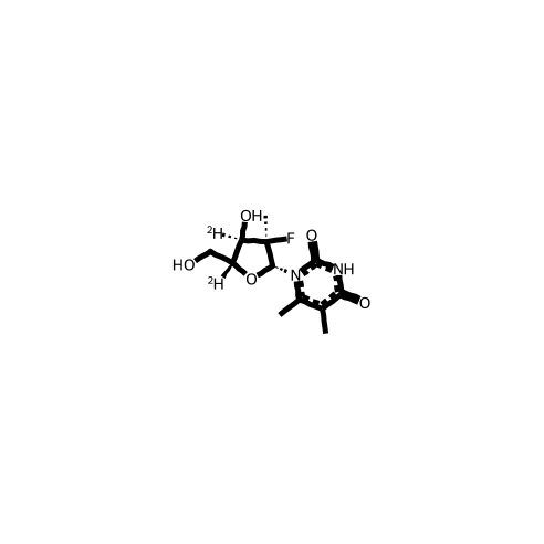 [2H][C@@]1(O)[C@@]([2H])(CO)O[C@@H](n2c(C)c(C)c(=O)[nH]c2=O)[C@]1(C)F